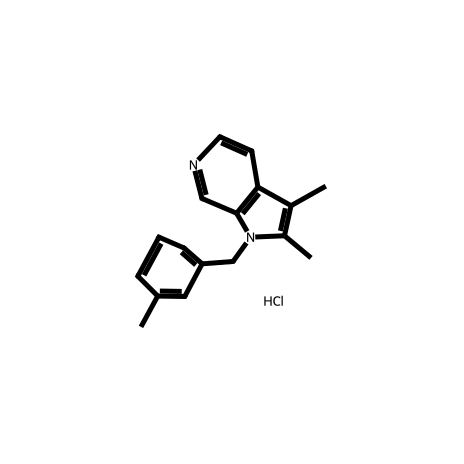 Cc1cccc(Cn2c(C)c(C)c3ccncc32)c1.Cl